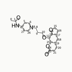 CC(=O)Nc1cc[n+](CCCOc2c3occc3cc3ccc(=O)oc23)cc1